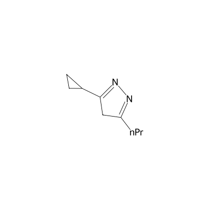 CCCC1=NN=C(C2CC2)C1